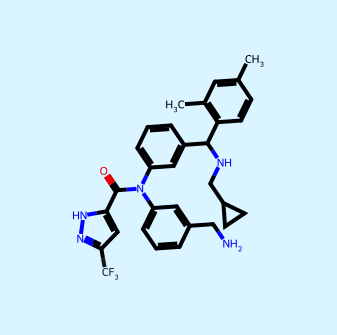 Cc1ccc(C(NCC2CC2)c2cccc(N(C(=O)c3cc(C(F)(F)F)n[nH]3)c3cccc(CN)c3)c2)c(C)c1